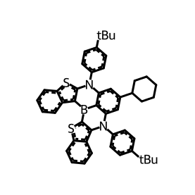 CC(C)(C)c1ccc(N2c3cc(C4CCCCC4)cc4c3B(c3sc5ccccc5c3N4c3ccc(C(C)(C)C)cc3)c3c2sc2ccccc32)cc1